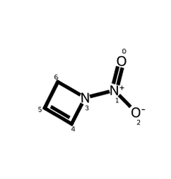 O=[N+]([O-])N1C=CC1